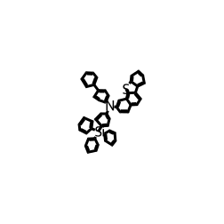 c1ccc(-c2ccc(N(c3ccc([Si](c4ccccc4)(c4ccccc4)c4ccccc4)cc3)c3ccc4ccc5c6ccccc6sc5c4c3)cc2)cc1